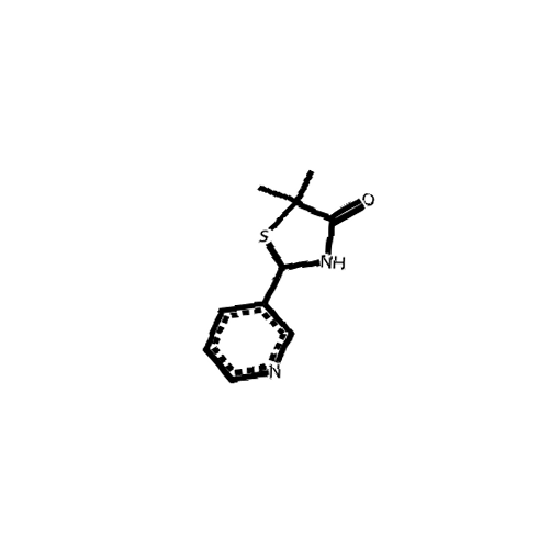 CC1(C)SC(c2cccnc2)NC1=O